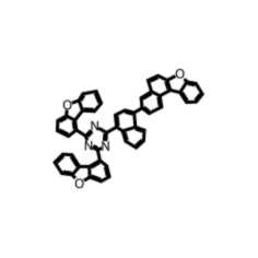 c1ccc2c(c1)oc1cccc(-c3nc(-c4ccc(-c5ccc6c(ccc7oc8ccccc8c76)c5)c5ccccc45)nc(-c4cccc5oc6ccccc6c45)n3)c12